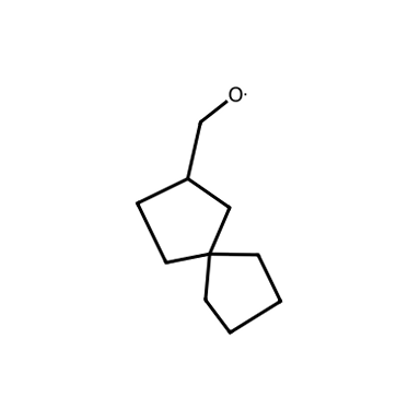 [O]CC1CCC2(CCCC2)C1